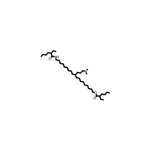 CCCCC(CC)C(=O)NCCCCCCCCCC(CCCCCCCCCOC(=O)C(CC)CCCC)CCCN(C)C